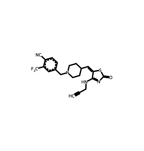 C#CCNC1=NC(=O)SC1=CC1CCN(Cc2ccc(C#N)c(C(F)(F)F)c2)CC1